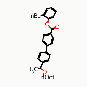 CCCCCCCCOC(C)c1ccc(-c2ccc(C(=O)Oc3ccccc3CCCC)cc2)cc1